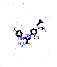 CN(CC1CC1)C1CCC(n2cc(C(N)=O)c(Nc3ccc(C(F)(F)F)cc3)n2)C(C#N)C1